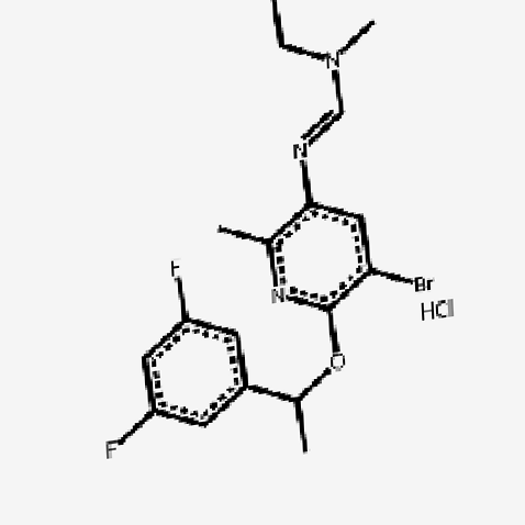 CCN(C)C=Nc1cc(Br)c(OC(C)c2cc(F)cc(F)c2)nc1C.Cl